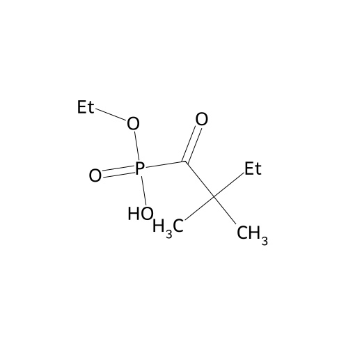 CCOP(=O)(O)C(=O)C(C)(C)CC